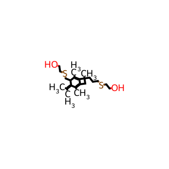 CC(C)=C1C(C)=C2CC(C)(CCCSCCO)C2=C(C)C1CSCCO